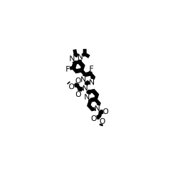 COC(=O)C(=O)N1CCc2nc(N(C(=O)C(=O)OC)c3ncc(F)c(-c4cc(F)c5nc(C)n(C(C)C)c5c4)n3)ccc2C1